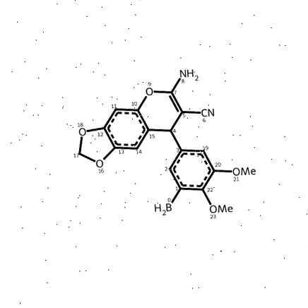 Bc1cc(C2C(C#N)=C(N)Oc3cc4c(cc32)OCO4)cc(OC)c1OC